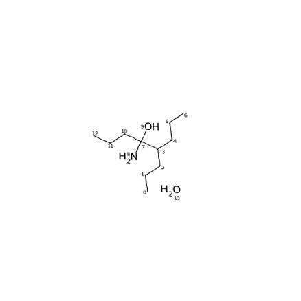 CCCC(CCC)C(N)(O)CCC.O